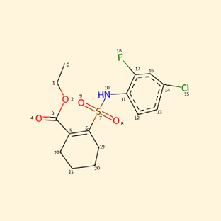 CCOC(=O)C1=C(S(=O)(=O)Nc2ccc(Cl)cc2F)CCCC1